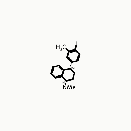 CN[C@H]1CC[C@@H](c2ccc(I)c(C)c2)c2ccccc21